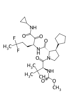 COC(=O)N[C@H](C(=O)N1CC[C@H](C2CCCC2)[C@H]1C(=O)N[C@@H](CCC(C)(F)F)C(=O)C(=O)NC1CC1)C(C)(C)C